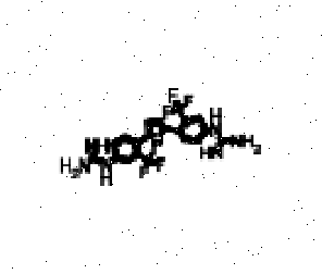 N=C(N)Nc1ccc(-c2ccc(-c3ccc(NC(=N)N)cc3C(F)(F)F)o2)c(C(F)(F)F)c1